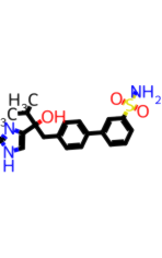 CC(C)C(O)(Cc1ccc(-c2cccc(S(N)(=O)=O)c2)cc1)c1c[nH]cn1